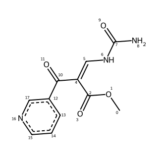 COC(=O)C(=CNC(N)=O)C(=O)c1cccnc1